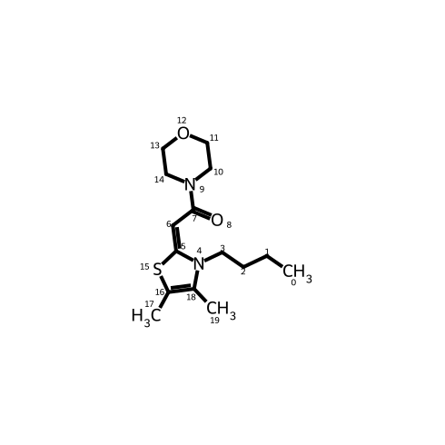 CCCCN1C(=CC(=O)N2CCOCC2)SC(C)=C1C